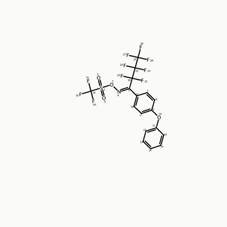 O=S(=O)(ON=C(c1ccc(Oc2ccccc2)cc1)C(F)(F)C(F)(F)C(F)(F)F)C(F)(F)F